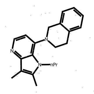 CCCn1c(C)c(C)c2nccc(N3CCc4ccccc4C3)c21